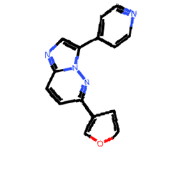 c1cc(-c2cnc3ccc(-c4ccoc4)nn23)ccn1